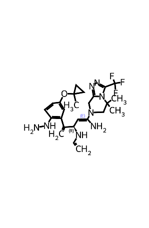 C=CN[C@H](/C=C(\N)N1Cc2nnc(C(F)(F)F)n2C(C)(C)C1)C(=C)c1cc(OC2(C)CC2)ccc1NN